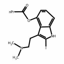 CCCC(=O)Oc1cccc2[nH]c(I)c(CCN(C)C)c12